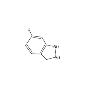 Ic1ccc2c(c1)NNC2